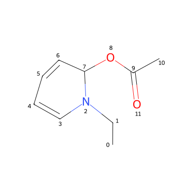 CCN1C=CC=CC1OC(C)=O